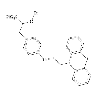 CCOC(=O)C(Cc1ccc(OCCC2c3ccccc3Sc3ccccc32)cc1)OCC